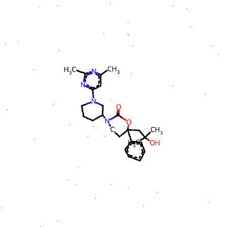 Cc1cc(N2CCCC(N3CCC(CC(C)(C)O)(c4ccccc4)OC3=O)C2)nc(C)n1